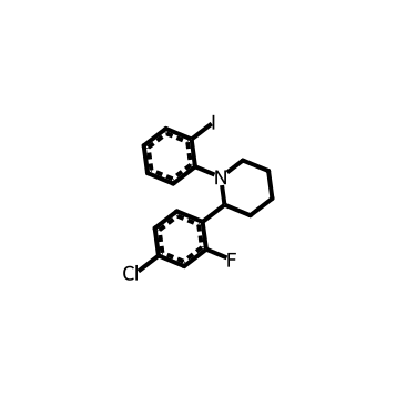 Fc1cc(Cl)ccc1C1CCCCN1c1ccccc1I